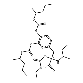 CCCC(C)OC(=O)Oc1ccc(C[C@](NC(C)CC)(OC(=O)OCC)C(=O)O)cc1OC(=O)OC(C)CCC